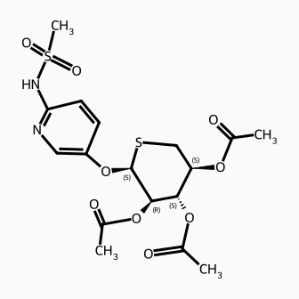 CC(=O)O[C@@H]1[C@@H](OC(C)=O)[C@@H](Oc2ccc(NS(C)(=O)=O)nc2)SC[C@H]1OC(C)=O